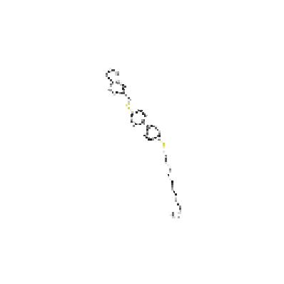 CCCCCCCCCCCSc1ccc(-c2ccc(SCc3ccc(CC)cc3)cc2)cc1